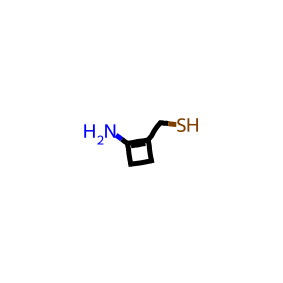 NC1=C(CS)CC1